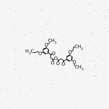 CCCOc1cc(OCC)cc(C(=O)CC(=O)OC(=O)CC(=O)c2cc(OCC)cc(OCCC)c2)c1